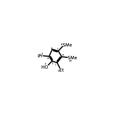 CCc1c(O)c(C(C)C)cc(SC)c1SC